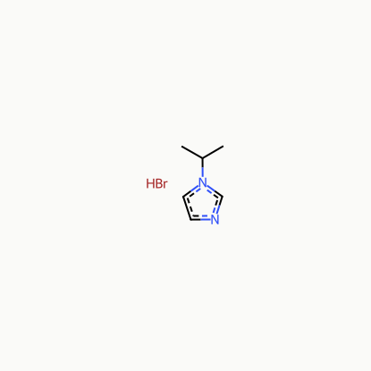 Br.CC(C)n1ccnc1